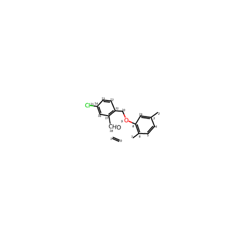 C=C.Cc1ccc(C)c(OCc2ccc(Cl)cc2C=O)c1